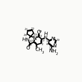 Cc1cc(Nc2cc(N)ncn2)c(=O)n2c1C(=O)NC21CC=CC1